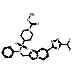 CC(C)(C)OC(=O)N1CCC(S(=O)(=O)N(Cc2cn3ccc(-c4nnc(C(F)F)o4)cc3n2)c2ccccc2)CC1